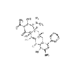 CN(C)[C@H]1C(O)=C(C(N)=O)C(=O)[C@@]2(O)C(O)=C3C(=O)c4c(O)c(N)cc(-c5ncccn5)c4C[C@H]3C[C@@H]12